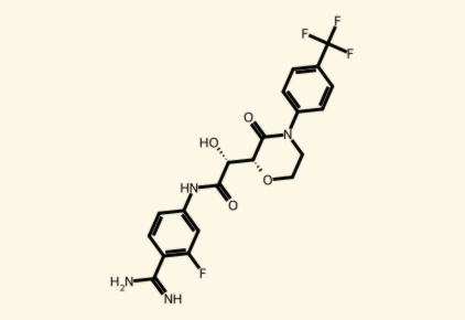 N=C(N)c1ccc(NC(=O)[C@H](O)[C@H]2OCCN(c3ccc(C(F)(F)F)cc3)C2=O)cc1F